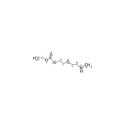 CCOC(=O)OCCOCCNC